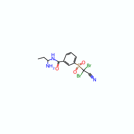 CCC(N)NC(=O)c1cccc(S(=O)(=O)C(Br)(Br)C#N)c1